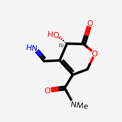 CNC(=O)C1=C(C=N)[C@H](O)C(=O)OC1